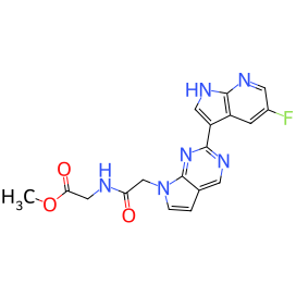 COC(=O)CNC(=O)Cn1ccc2cnc(-c3c[nH]c4ncc(F)cc34)nc21